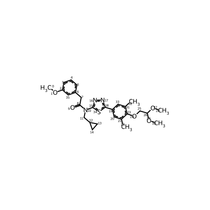 COc1cccc(CC(=O)N(CC2CC2)c2nnc(-c3cc(C)c(OCC(OC)OC)c(C)c3)s2)c1